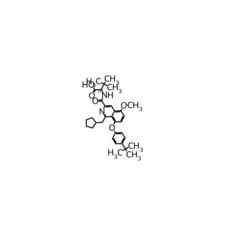 COc1ccc(Oc2ccc(C(C)(C)C)cc2)c2c(CC3CCCC3)nc(C(=O)N[C@H](C(=O)O)C(C)(C)C)cc12